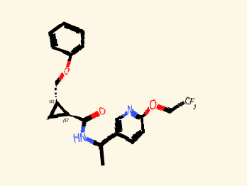 CC(NC(=O)[C@H]1C[C@@H]1COc1ccccc1)c1ccc(OCC(F)(F)F)nc1